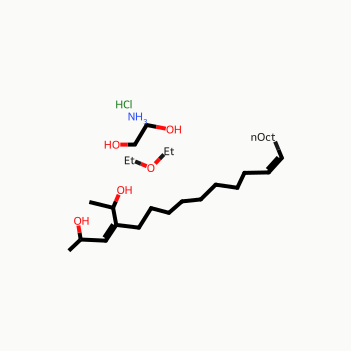 CCCCCCCC/C=C\CCCCCCCC/C(=C/C(C)O)C(C)O.CCOCC.Cl.N.OCCO